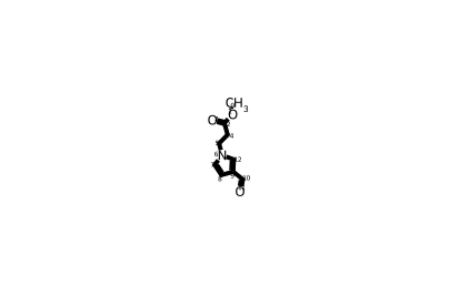 COC(=O)CCn1ccc(C=O)c1